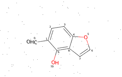 O=Cc1ccc2occc2c1O